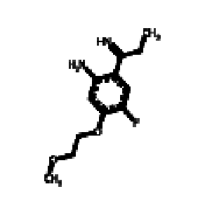 CCC(=N)c1cc(F)c(OCCOC)cc1N